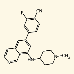 CN1CCC(Nc2cc(-c3ccc(C#N)c(F)c3)cc3ccncc23)CC1